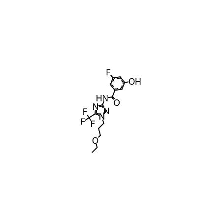 CCOCCCn1nc(NC(=O)c2cc(O)cc(F)c2)nc1C(F)(F)F